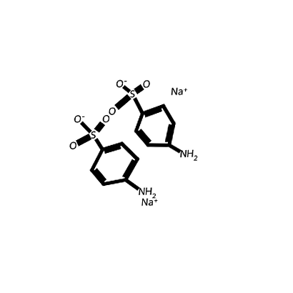 Nc1ccc(S(=O)(=O)[O-])cc1.Nc1ccc(S(=O)(=O)[O-])cc1.[Na+].[Na+]